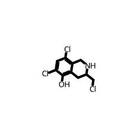 Oc1c(Cl)cc(Cl)c2c1CC(CCl)NC2